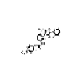 CC(C)(C)c1c(-c2ccccc2)sc(N)c1-c1cccc(NC(=O)Oc2ccc([N+](=O)[O-])cc2)c1